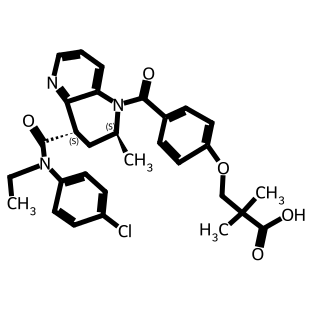 CCN(C(=O)[C@H]1C[C@H](C)N(C(=O)c2ccc(OCC(C)(C)C(=O)O)cc2)c2cccnc21)c1ccc(Cl)cc1